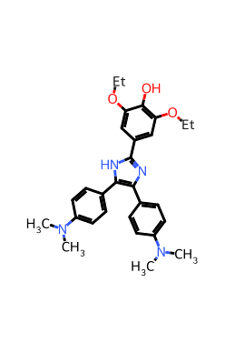 CCOc1cc(-c2nc(-c3ccc(N(C)C)cc3)c(-c3ccc(N(C)C)cc3)[nH]2)cc(OCC)c1O